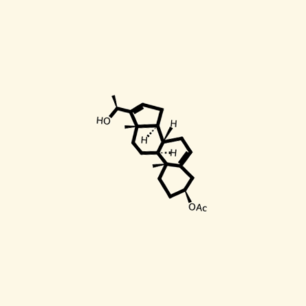 CC(=O)O[C@H]1CC[C@@]2(C)C(=CC[C@@H]3[C@@H]2CC[C@]2(C)C([C@H](C)O)=CC[C@@H]32)C1